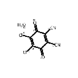 N#CC1=C(C#N)C(=O)C(Cl)=C(Cl)C1=O.O